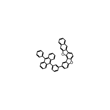 c1ccc(-c2c3ccccc3c(-c3cccc(-c4ccc5oc6ccc7c8cc9ccccc9cc8oc7c6c5c4)c3)c3ccccc23)cc1